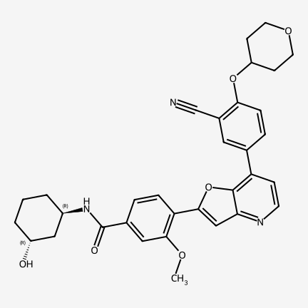 COc1cc(C(=O)N[C@@H]2CCC[C@@H](O)C2)ccc1-c1cc2nccc(-c3ccc(OC4CCOCC4)c(C#N)c3)c2o1